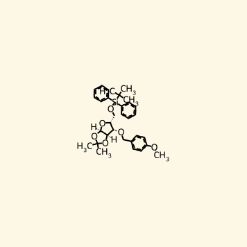 COc1ccc(CO[C@@H]2[C@H]3OC(C)(C)O[C@H]3O[C@@H]2CO[Si](c2ccccc2)(c2ccccc2)C(C)(C)C)cc1